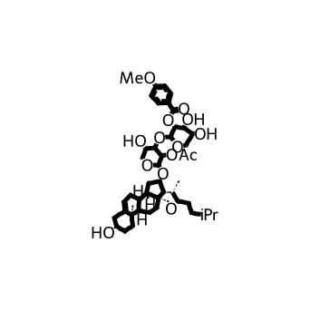 COc1ccc(C(=O)OC2C(OC3C(O)COC(O[C@H]4C[C@H]5[C@@H]6CC=C7C[C@@H](O)CC[C@]7(C)[C@H]6CC[C@]5(C)[C@H]4[C@H](C)C(=O)CCC(C)C)C3OC(C)=O)OCC(O)C2O)cc1